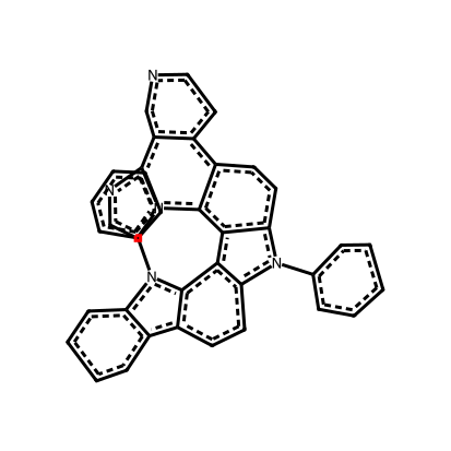 c1ccc(-n2c3ccc4c5ccccc5n(-c5ccccc5)c4c3c3c2ccc2c4ccncc4c4nccn4c23)cc1